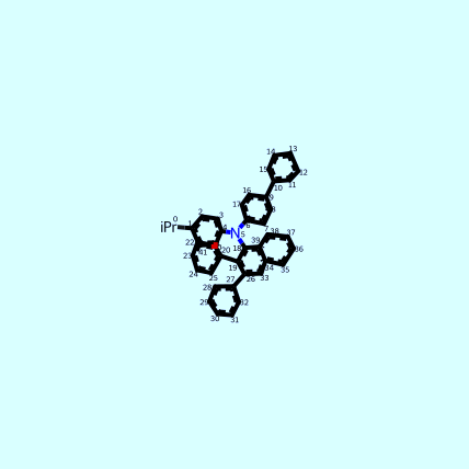 CC(C)c1ccc(N(c2ccc(-c3ccccc3)cc2)c2c(-c3ccccc3)c(-c3ccccc3)cc3ccccc23)cc1